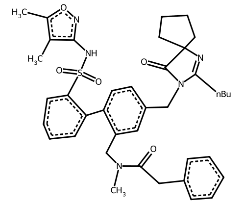 CCCCC1=NC2(CCCC2)C(=O)N1Cc1ccc(-c2ccccc2S(=O)(=O)Nc2noc(C)c2C)c(CN(C)C(=O)Cc2ccccc2)c1